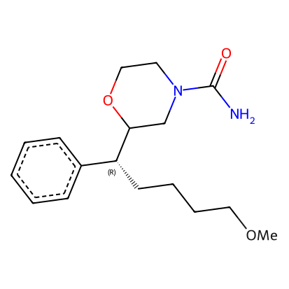 COCCCC[C@H](c1ccccc1)C1CN(C(N)=O)CCO1